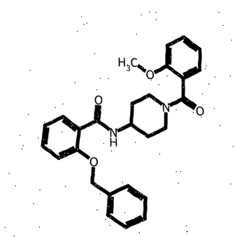 COc1ccccc1C(=O)N1CCC(NC(=O)c2ccccc2OCc2ccccc2)CC1